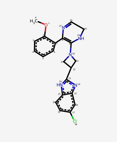 COc1ccccc1C1=C(N2CC(c3nc4cc(Cl)ccc4[nH]3)C2)NCC=N1